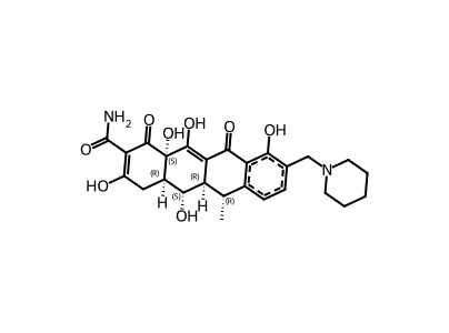 C[C@H]1c2ccc(CN3CCCCC3)c(O)c2C(=O)C2=C(O)[C@]3(O)C(=O)C(C(N)=O)=C(O)C[C@@H]3[C@@H](O)[C@@H]21